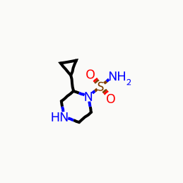 NS(=O)(=O)N1CCNCC1C1CC1